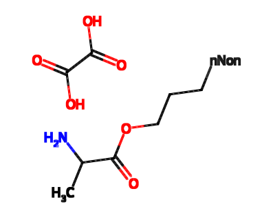 CCCCCCCCCCCCOC(=O)C(C)N.O=C(O)C(=O)O